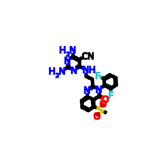 CS(=O)(=O)c1cccc2nc(CCNc3nc(N)nc(N)c3C#N)n(-c3c(F)cccc3F)c(=O)c12